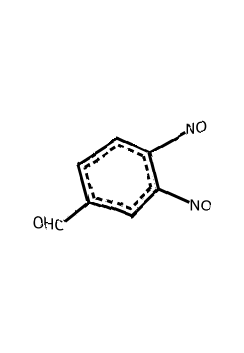 O=Cc1ccc(N=O)c(N=O)c1